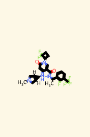 C[C@@H](NC(=O)c1cn([C@H]2CCC2(F)F)c(=O)cc1N[C@H]1[C@@H]2CN(C)C[C@@H]21)c1cccc(C(F)(F)F)c1F